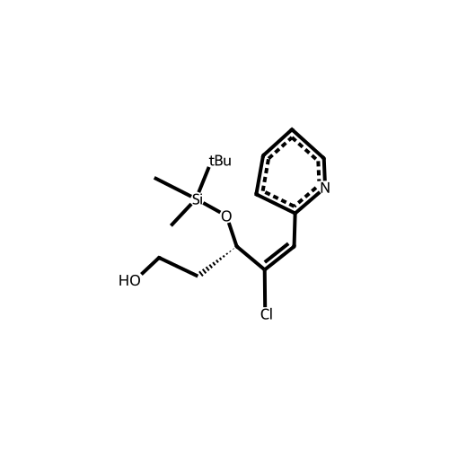 CC(C)(C)[Si](C)(C)O[C@@H](CCO)/C(Cl)=C\c1ccccn1